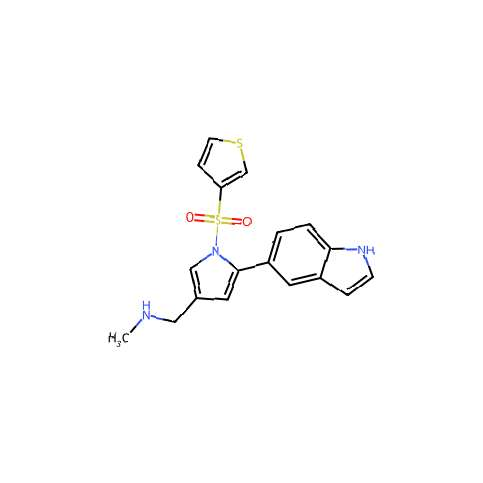 CNCc1cc(-c2ccc3[nH]ccc3c2)n(S(=O)(=O)c2ccsc2)c1